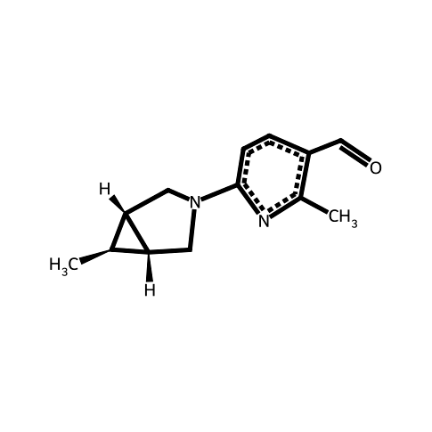 Cc1nc(N2C[C@@H]3[C@@H](C)[C@@H]3C2)ccc1C=O